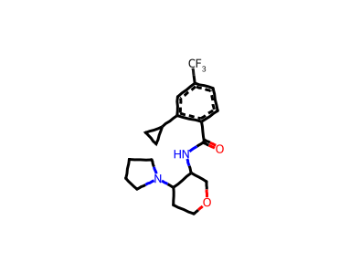 O=C(NC1COCCC1N1CCCC1)c1ccc(C(F)(F)F)cc1C1CC1